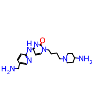 NCc1ccc(Nc2ccn(CCCCN3CCC(N)CC3)c(=O)n2)nc1